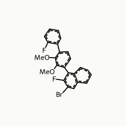 COc1c(-c2ccccc2F)ccc(-c2c(F)c(Br)cc3ccccc23)c1OC